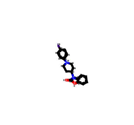 O=c1oc2ccccc2n1C1CCN(c2ccc(I)cc2)CC1